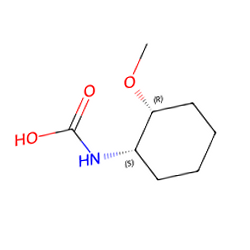 CO[C@@H]1CCCC[C@@H]1NC(=O)O